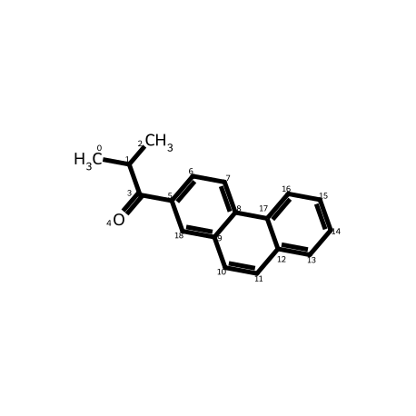 CC(C)C(=O)c1ccc2c(ccc3ccccc32)c1